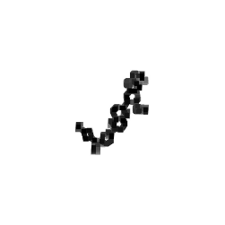 Cc1nc2cc(O)c(-c3ccc4nc(N5CC[C@H](NC6CC(F)C6)C5)ccc4n3)cc2o1